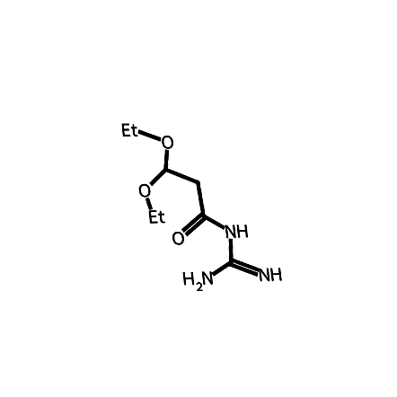 CCOC(CC(=O)NC(=N)N)OCC